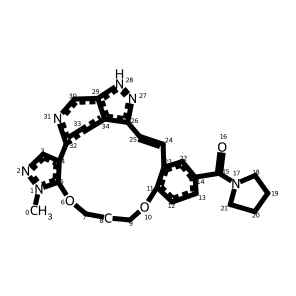 Cn1ncc2c1OCCCOc1ccc(C(=O)N3CCCC3)cc1/C=C/c1n[nH]c3cnc-2cc13